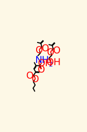 C=C(C)C(=O)OCCN.C=C(C)C(=O)OCCO.C=C(C=C(C)C(=O)O)C(=O)OCCCC